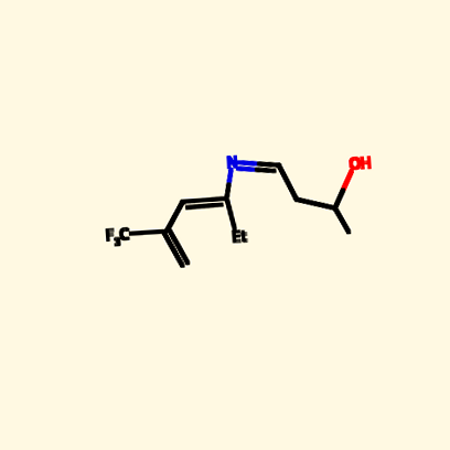 C=C(/C=C(CC)/N=C\CC(C)O)C(F)(F)F